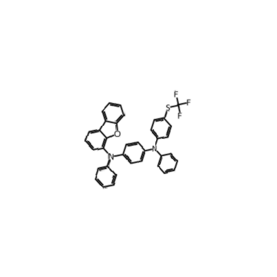 FC(F)(F)Sc1ccc(N(c2ccccc2)c2ccc(N(c3ccccc3)c3cccc4c3oc3ccccc34)cc2)cc1